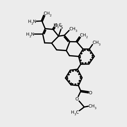 C=C(N)C1=C(N)CC2CC3Cc4c(-c5cccc(C(=O)OC(C)C)c5)ccc(C)c4C(=C)C3=C(C)C2(SC)C1=O